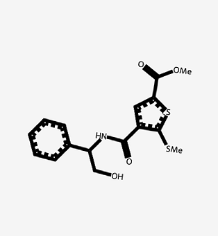 COC(=O)c1cc(C(=O)NC(CO)c2ccccc2)c(SC)s1